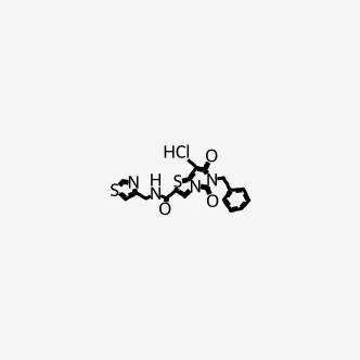 Cc1c(=O)n(Cc2ccccc2)c(=O)n2cc(C(=O)NCc3cscn3)sc12.Cl